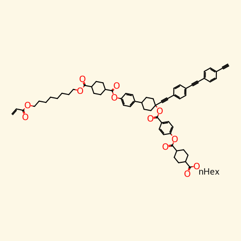 C#Cc1ccc(C#Cc2ccc(C#CC3(OC(=O)c4ccc(OC(=O)C5CCC(C(=O)OCCCCCC)CC5)cc4)CCC(c4ccc(OC(=O)C5CCC(C(=O)OCCCCCCCCOC(=O)C=C)CC5)cc4)CC3)cc2)cc1